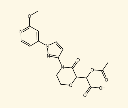 COc1cc(-n2ccc(N3CCOC(C(OC(C)=O)C(=O)O)C3=O)n2)ccn1